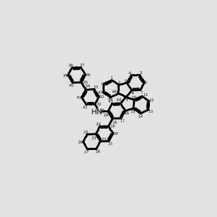 C1=CC2c3ccccc3C3(c4ccccc4-c4cc(-c5ccc6c(c5)CCCC6)c(Nc5ccc(-c6ccccc6)cc5)cc43)C2C=C1